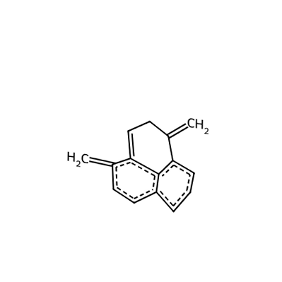 C=C1CC=c2c(=C)ccc3cccc1c23